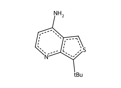 CC(C)(C)c1scc2c(N)ccnc12